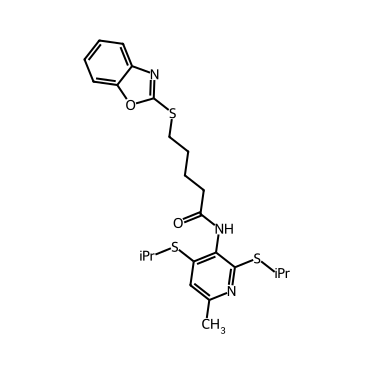 Cc1cc(SC(C)C)c(NC(=O)CCCCSc2nc3ccccc3o2)c(SC(C)C)n1